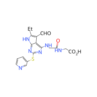 CCc1[nH]c2nc(Sc3cccnc3)nc(NCC(=O)NCC(=O)O)c2c1C=O